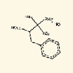 CCCCCCCCC(Cc1ccccc1)[C]([SbH3+])(CCCC)CCCC.[OH-]